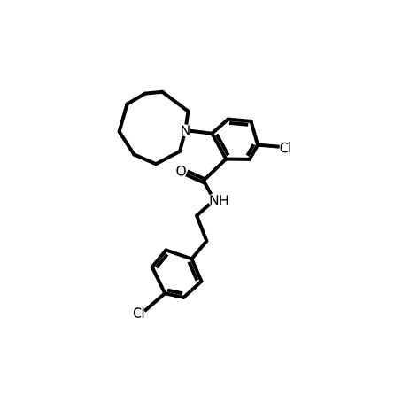 O=C(NCCc1ccc(Cl)cc1)c1cc(Cl)ccc1N1CCCCCCCC1